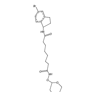 O=C(CCCCCCC(=O)NC1CCc2cc(Br)ccc21)NOC1CCCCO1